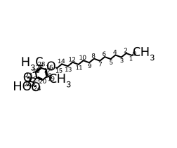 CCCCCCCCCCCCCCCCOc1c(C)cc(S(=O)(=O)O)cc1C